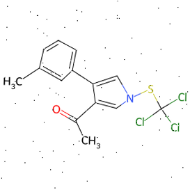 CC(=O)c1cn(SC(Cl)(Cl)Cl)cc1-c1cccc(C)c1